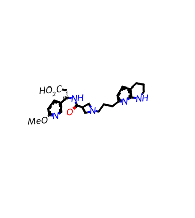 COc1ccc([C@H](CC(=O)O)NC(=O)C2CN(CCCc3ccc4c(n3)NCCC4)C2)cn1